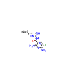 CCCCCCCCCCCCNC(=N)NC(=O)c1nc(Cl)c(N)nc1N